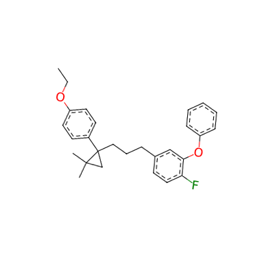 CCOc1ccc(C2(CCCc3ccc(F)c(Oc4ccccc4)c3)CC2(C)C)cc1